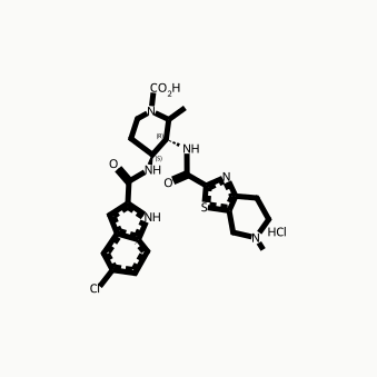 CC1[C@H](NC(=O)c2nc3c(s2)CN(C)CC3)[C@@H](NC(=O)c2cc3cc(Cl)ccc3[nH]2)CCN1C(=O)O.Cl